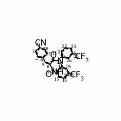 N#Cc1ccc(C=C(C(N)=O)C(=O)N(c2cccc(C(F)(F)F)c2)c2cccc(C(F)(F)F)c2)cc1